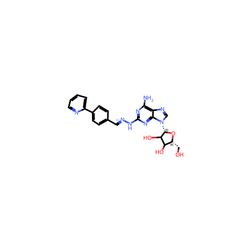 Nc1nc(N/N=C/c2ccc(-c3ccccn3)cc2)nc2c1ncn2[C@@H]1O[C@H](CO)C(O)C1O